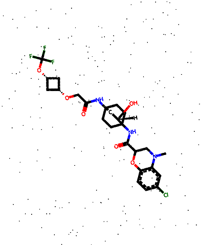 CN1CC(C(=O)NC23CCC(NC(=O)CO[C@H]4C[C@@H](OC(F)(F)F)C4)(CC2)C[C@@H]3O)Oc2ccc(Cl)cc21